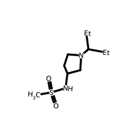 CCC(CC)N1CCC(NS(C)(=O)=O)C1